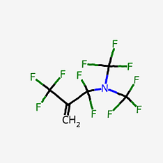 C=C(C(F)(F)F)C(F)(F)N(C(F)(F)F)C(F)(F)F